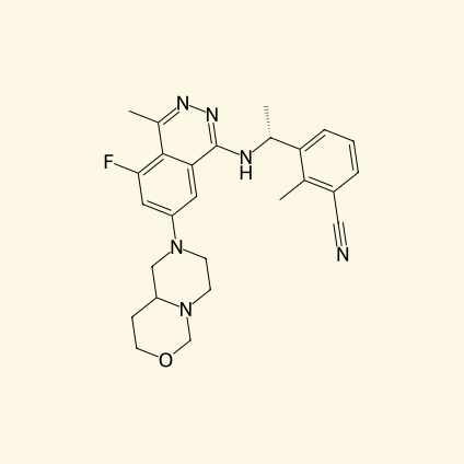 Cc1c(C#N)cccc1[C@@H](C)Nc1nnc(C)c2c(F)cc(N3CCN4COCCC4C3)cc12